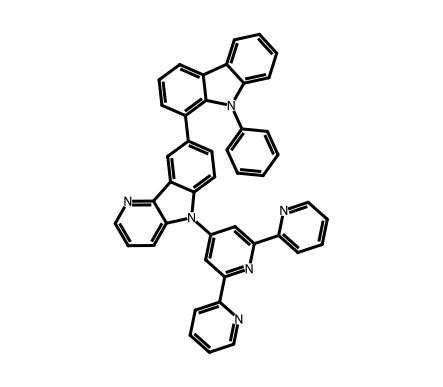 c1ccc(-n2c3ccccc3c3cccc(-c4ccc5c(c4)c4ncccc4n5-c4cc(-c5ccccn5)nc(-c5ccccn5)c4)c32)cc1